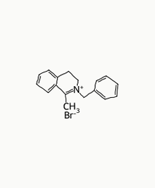 CC1=[N+](Cc2ccccc2)CCc2ccccc21.[Br-]